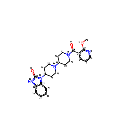 COc1ncccc1C(=O)N1CCC(N2CCC(n3c(=O)[nH]c4ccccc43)CC2)CC1